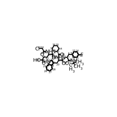 CC(C)(C)NC(=O)C(Cc1ccc(F)cc1)NC(=O)C(Cc1c[nH]c2ccccc12)NC(=O)[C@@H]1CCCCN1C(=O)C(CCC(=O)O)NC(=O)CCl